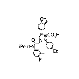 CCCC(C)N(C(=O)CN1C[C@H](C2=CC=C3OCC=C3C2)[C@H](C(=O)O)[C@H]1c1ccc(CC)cc1)c1ccc(F)c(C)c1